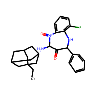 NC1C(=O)C(c2ccccc2)Nc2c(F)cccc2[N+]1=O.[Zn][CH2]C12CC3CC(CC(C3)C1)C2